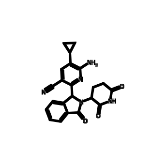 N#Cc1cc(C2CC2)c(N)nc1C1c2ccccc2C(=O)N1C1CCC(=O)NC1=O